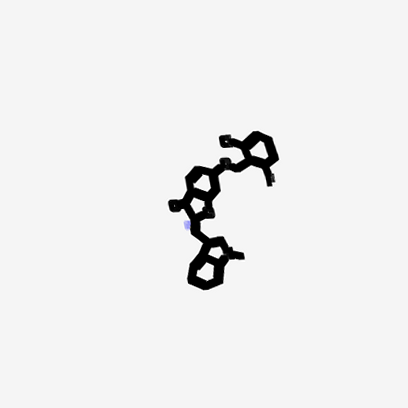 Cn1cc(/C=C2\Oc3cc(OCc4c(F)cccc4Cl)ccc3C2=O)c2ccccc21